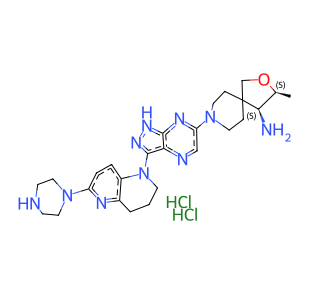 C[C@@H]1OCC2(CCN(c3cnc4c(N5CCCc6nc(N7CCNCC7)ccc65)n[nH]c4n3)CC2)[C@@H]1N.Cl.Cl